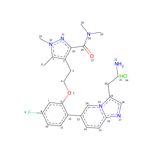 Cc1c(CCOc2cc(F)ccc2-c2ccc3ncc(CCN)n3c2)c(C(=O)N(C)C)nn1C.Cl